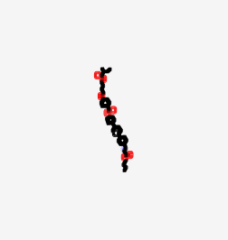 CCCCOC(=O)/C=C/c1ccc(-c2ccc(-c3ccc(OC(=O)c4ccc(OCCCCOC(=O)C(C)CC)cc4)cc3)cc2)cc1